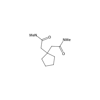 CNC(=O)CC1(CC(=O)NC)CCCC1